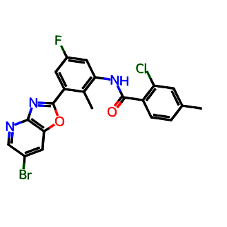 Cc1ccc(C(=O)Nc2cc(F)cc(-c3nc4ncc(Br)cc4o3)c2C)c(Cl)c1